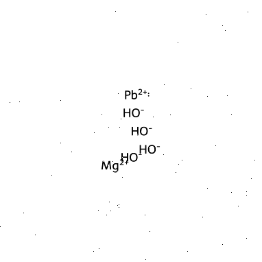 [Mg+2].[OH-].[OH-].[OH-].[OH-].[Pb+2]